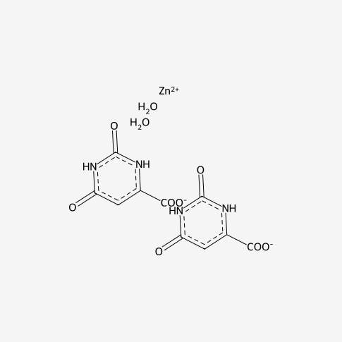 O.O.O=C([O-])c1cc(=O)[nH]c(=O)[nH]1.O=C([O-])c1cc(=O)[nH]c(=O)[nH]1.[Zn+2]